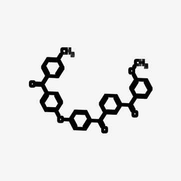 COc1cccc(C(=O)c2cccc(C(=O)c3ccc(Oc4ccc(C(=O)c5ccc(C)cc5)cc4)cc3)c2)c1